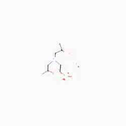 CC(O)CN(CCS(=O)(=O)[O-])CC(C)O.[Na+]